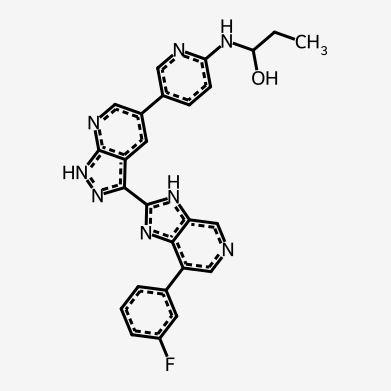 CCC(O)Nc1ccc(-c2cnc3[nH]nc(-c4nc5c(-c6cccc(F)c6)cncc5[nH]4)c3c2)cn1